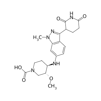 CO[C@@H]1CN(C(=O)O)CC[C@H]1Nc1ccc2c(C3CCC(=O)NC3=O)nn(C)c2c1